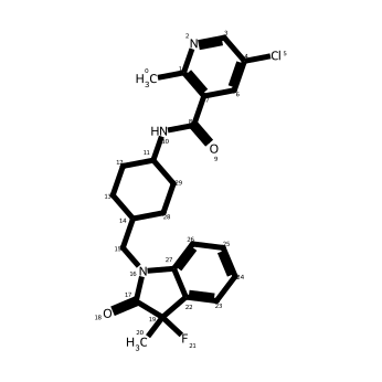 Cc1ncc(Cl)cc1C(=O)NC1CCC(CN2C(=O)C(C)(F)c3ccccc32)CC1